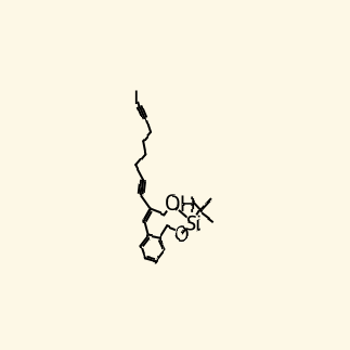 CC(C)(C)[Si](C)(C)OCc1ccccc1C=C(C#CCCCCC#CI)CO